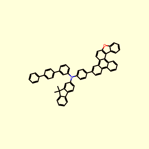 CC1(C)c2ccccc2-c2ccc(N(c3ccc(-c4ccc5c6ccccc6c6c(ccc7oc8ccccc8c76)c5c4)cc3)c3cccc(-c4ccc(-c5ccccc5)cc4)c3)cc21